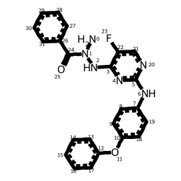 NN(Nc1nc(Nc2ccc(Oc3ccccc3)cc2)ncc1F)C(=O)c1ccccc1